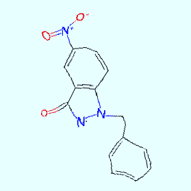 O=C1[N]N(Cc2ccccc2)c2ccc([N+](=O)[O-])cc21